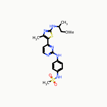 COCC(C)Nc1nc(C)c(-c2ccnc(Nc3ccc(NS(C)(=O)=O)cc3)n2)s1